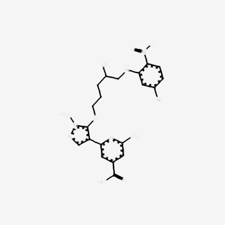 Cc1cc(C(=O)O)cc(-c2cnn(C)c2OCCCC(C)CNc2cc(Br)ccc2[N+](=O)[O-])n1